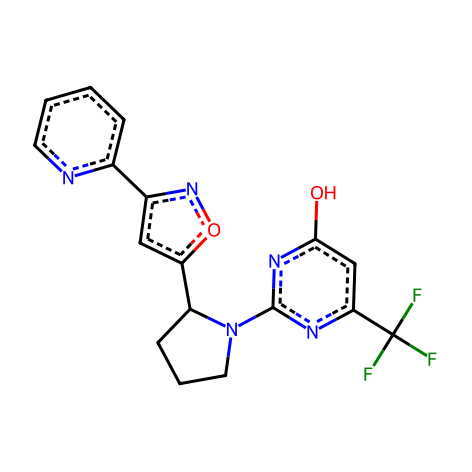 Oc1cc(C(F)(F)F)nc(N2CCCC2c2cc(-c3ccccn3)no2)n1